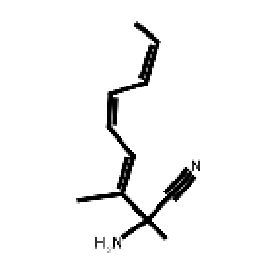 C\C=C/C=C\C=C(/C)C(C)(N)C#N